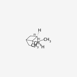 C[C@H]1CCC2C[C@@H]1C2(C)C